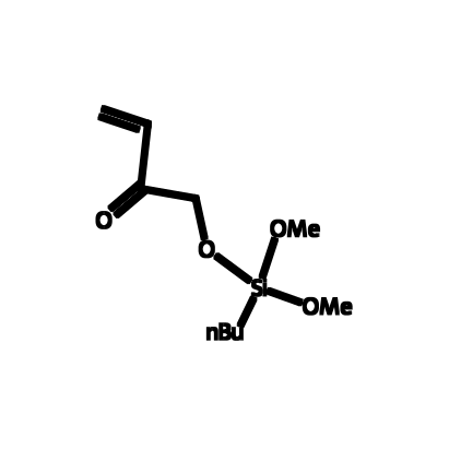 C=CC(=O)CO[Si](CCCC)(OC)OC